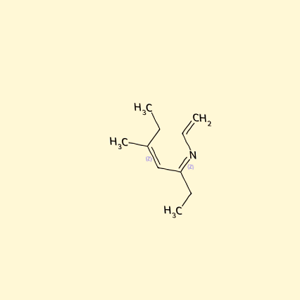 C=C/N=C(\C=C(\C)CC)CC